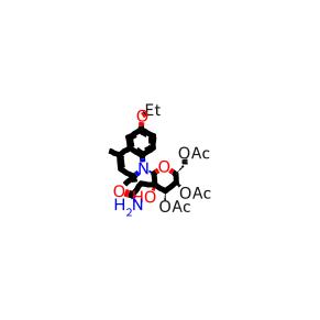 CCOc1ccc2c(c1)C(C)=CC(C)(C)N2[C@@H]1O[C@H](COC(C)=O)[C@@H](OC(C)=O)[C@H](OC(C)=O)[C@]1(O)CC(N)=O